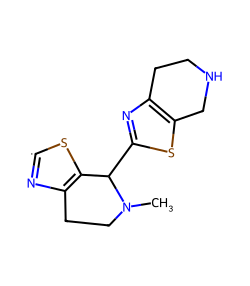 CN1CCc2n[c]sc2C1c1nc2c(s1)CNCC2